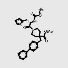 COC(=O)C1(Cc2ccc(-c3ccccc3)cc2)CCN(C(=O)[C@H](Cc2cccs2)NC(=O)OC(C)(C)C)CC1